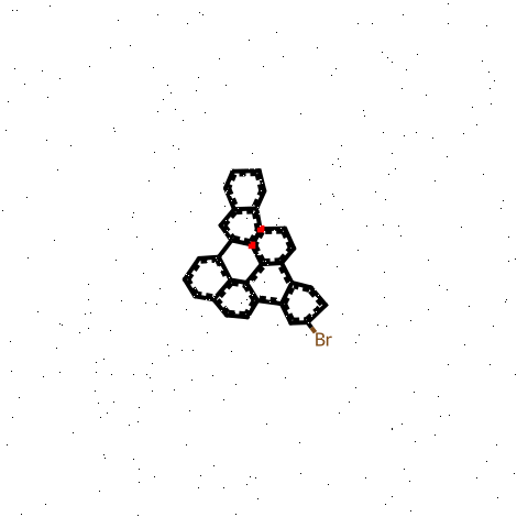 Brc1ccc2c3ccccc3c3c(ccc4cccc(-c5ccc6ccccc6c5)c43)c2c1